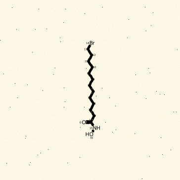 O=C(CCCCCCCCCCCCBr)NO